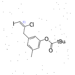 Cc1cc(C/C(Cl)=C\I)cc(OC(=O)C(C)(C)C)c1